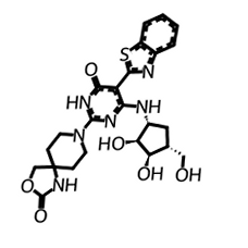 O=C1NC2(CCN(c3nc(N[C@@H]4C[C@H](CO)[C@@H](O)[C@H]4O)c(-c4nc5ccccc5s4)c(=O)[nH]3)CC2)CO1